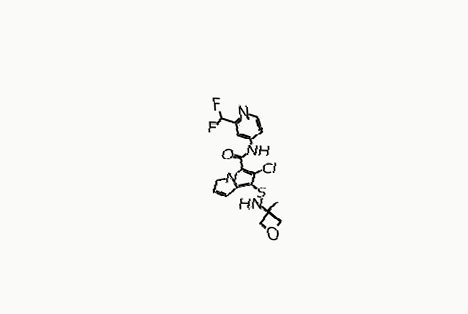 CC1(NSc2c(Cl)c(C(=O)Nc3ccnc(C(F)F)c3)n3c2C=CC3)COC1